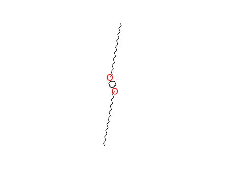 CCCCCCCCCCCCCCCCCCOc1ccc(OCCCCCCCCCCCCCCCCCC)cc1